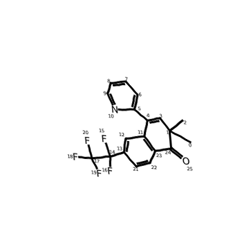 CC1(C)C=C(c2ccccn2)c2cc(C(F)(F)C(F)(F)F)ccc2C1=O